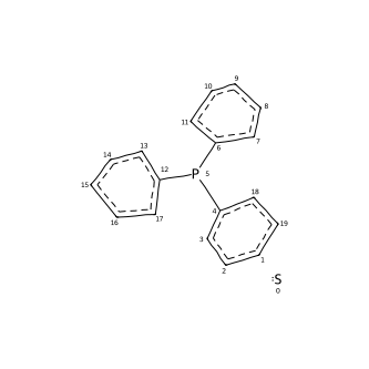 [S].c1ccc(P(c2ccccc2)c2ccccc2)cc1